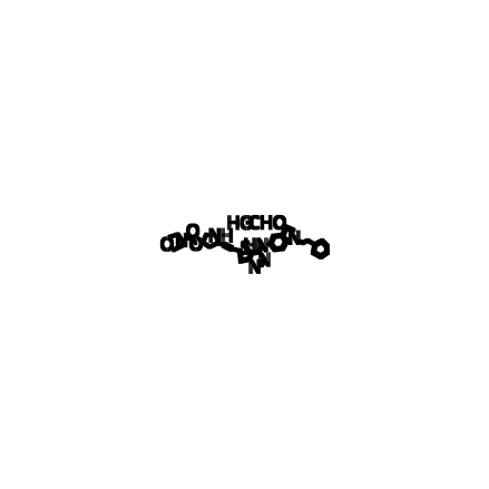 O=C(OC1CNC(C#Cc2cc3ncnc(Nc4ccc5c(ccn5CCc5ccccc5)c4)c3s2)C1)N1CCOCC1.O=CO